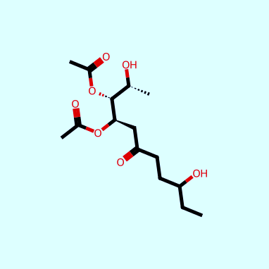 CCC(O)CCC(=O)C[C@@H](OC(C)=O)[C@H](OC(C)=O)[C@@H](C)O